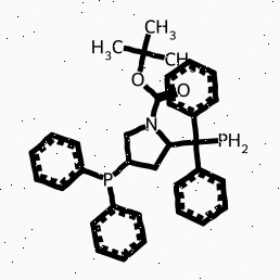 CC(C)(C)OC(=O)N1CC(P(c2ccccc2)c2ccccc2)CC1C(P)(c1ccccc1)c1ccccc1